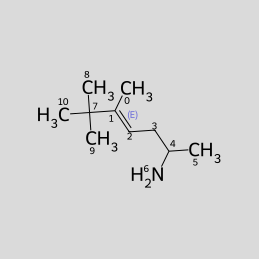 C/C(=C\CC(C)N)C(C)(C)C